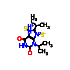 CC(C)C1=[N+]([S-])c2c(c(=O)[nH]c(=O)n2C(C)C)[NH+]1[S-]